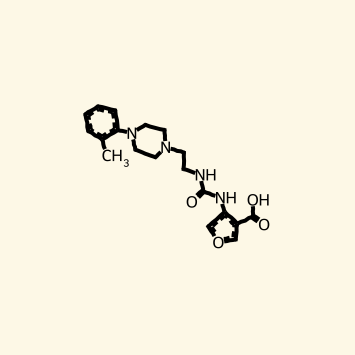 Cc1ccccc1N1CCN(CCNC(=O)Nc2cocc2C(=O)O)CC1